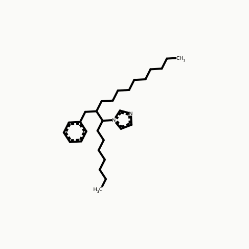 CCCCCCCCCCC(Cc1ccccc1)C(CCCCCCC)n1ccnc1